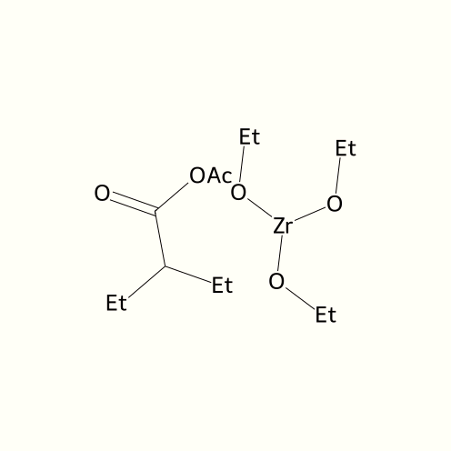 CCC(CC)C(=O)OC(C)=O.CC[O][Zr]([O]CC)[O]CC